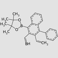 B=Cc1c(C=C)c(-c2ccccc2)c2ccccc2c1B1OC(C)(C)C(C)(C)O1